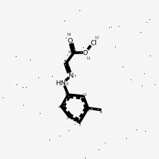 Cc1cccc(NN=CC(=O)OCl)c1